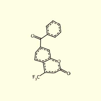 O=C(c1ccccc1)c1ccc2c(C(F)(F)F)cc(=O)oc2c1